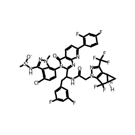 Cn1nc(N[S+](C)[O-])c2c(Cl)ccc(-n3c(C(Cc4cc(F)cc(F)c4)NC(=O)Cn4nc(C(F)(F)F)c5c4C(F)(F)[C@@H]4CC54)nc4nc(-c5ccc(F)cc5F)ccc4c3=O)c21